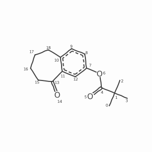 CC(C)(C)C(=O)Oc1ccc2c(c1)C(=O)CCCC2